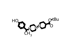 CC(c1ccc(O)cc1)N1CCN(N2CCC(C(=O)OC(C)(C)C)CC2)CC1